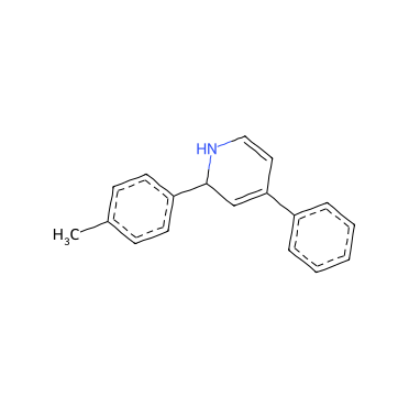 Cc1ccc(C2C=C(c3ccccc3)C=CN2)cc1